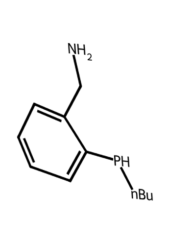 CCCCPc1ccccc1CN